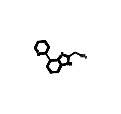 NCc1nc2c(-c3ccccn3)cccc2[nH]1